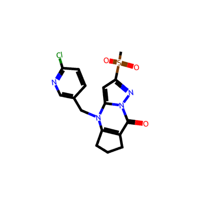 CS(=O)(=O)c1cc2n(Cc3ccc(Cl)nc3)c3c(c(=O)n2n1)CCC3